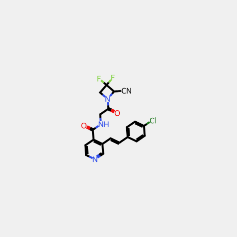 N#CC1N(C(=O)CNC(=O)c2ccncc2C=Cc2ccc(Cl)cc2)CC1(F)F